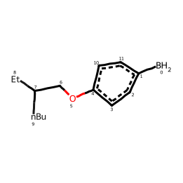 Bc1ccc(OCC(CC)CCCC)cc1